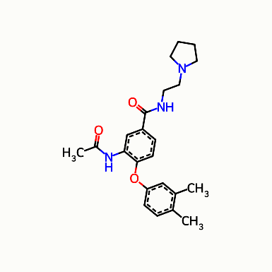 CC(=O)Nc1cc(C(=O)NCCN2CCCC2)ccc1Oc1ccc(C)c(C)c1